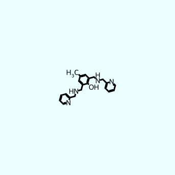 Cc1cc(CNCc2ccccn2)c(O)c(CNCc2ccccn2)c1